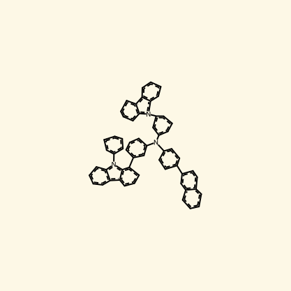 c1ccc(-n2c3ccccc3c3cccc(-c4cccc(N(c5ccc(-c6ccc7ccccc7c6)cc5)c5cccc(-n6c7ccccc7c7ccccc76)c5)c4)c32)cc1